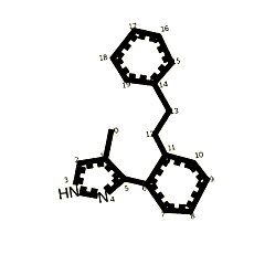 Cc1c[nH]nc1-c1ccccc1CCc1ccccc1